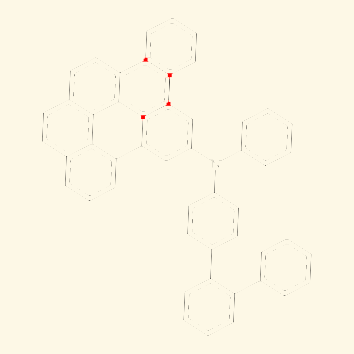 c1ccc(-c2cc(-c3cccc4ccc5ccc6ccccc6c5c34)cc(N(c3ccccc3)c3ccc(-c4ccccc4-c4ccccc4)cc3)c2)cc1